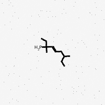 CCC(C)C/C=C/C(C)(P)CC